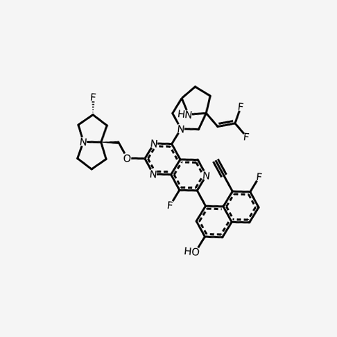 C#Cc1c(F)ccc2cc(O)cc(-c3ncc4c(N5CC6CCC(C=C(F)F)(C5)N6)nc(OC[C@@]56CCCN5C[C@H](F)C6)nc4c3F)c12